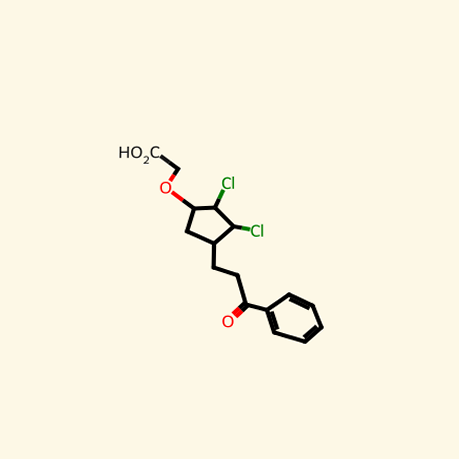 O=C(O)COC1CC(CCC(=O)c2ccccc2)C(Cl)C1Cl